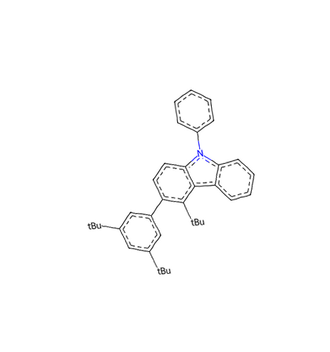 CC(C)(C)c1cc(-c2ccc3c(c2C(C)(C)C)c2ccccc2n3-c2ccccc2)cc(C(C)(C)C)c1